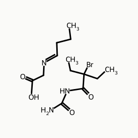 CCC(Br)(CC)C(=O)NC(N)=O.CCC/C=N/CC(=O)O